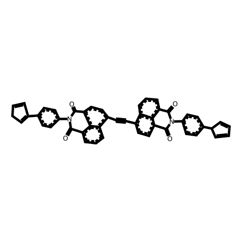 O=C1c2cccc3c(C#Cc4ccc5c6c(cccc46)C(=O)N(c4ccc(C6C=CC=C6)cc4)C5=O)ccc(c23)C(=O)N1c1ccc(C2=CCC=C2)cc1